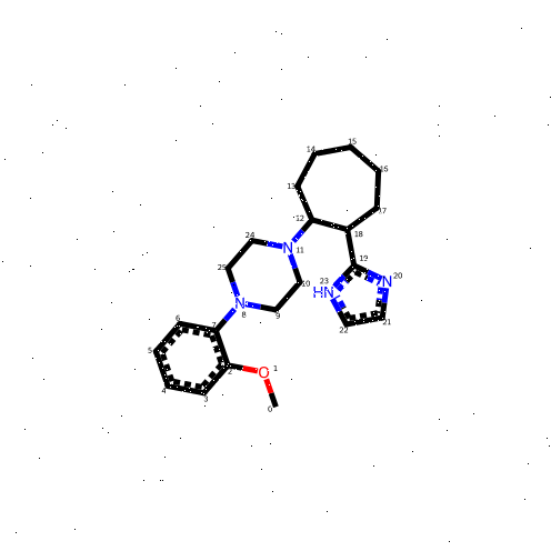 COc1ccccc1N1CCN(C2CCCCCC2c2ncc[nH]2)CC1